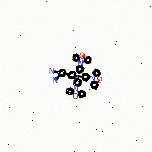 N#Cc1ccc(-c2ccc([Si](c3ccc(N4c5ccccc5Oc5ccccc54)cc3)(c3ccc(N4c5ccccc5Oc5ccccc54)cc3)c3ccc(N4c5ccccc5Oc5ccccc54)cc3)cc2)cc1C#N